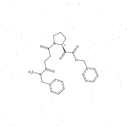 CN(Cc1ccccc1)C(=O)CCC(=O)N1CCC[C@H]1C(=O)C(=O)OCc1ccccc1